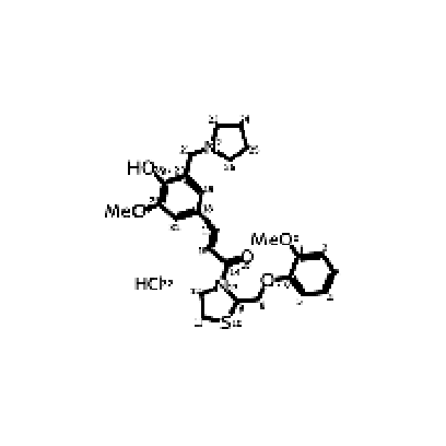 COc1ccccc1OCC1SCCN1C(=O)C=Cc1cc(CN2CCCC2)c(O)c(OC)c1.Cl